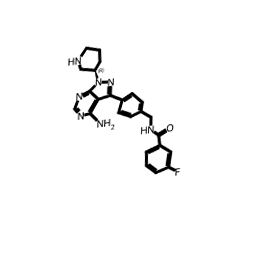 Nc1ncnc2c1c(-c1ccc(CNC(=O)c3cccc(F)c3)cc1)nn2[C@@H]1CCCNC1